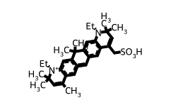 CCN1c2cc3c(cc2C(CS(=O)(=O)O)=CC1(C)C)C=c1cc2c(cc1C3(C)C)=[N+](CC)C(C)(C)C=C2C